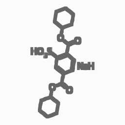 O=C(OC1CCCCC1)c1ccc(C(=O)OC2CCCCC2)c(S(=O)(=O)O)c1.[NaH]